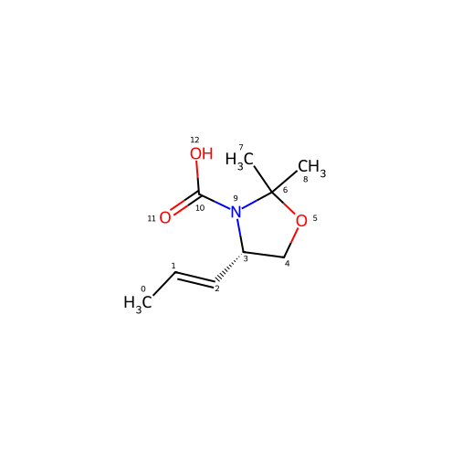 CC=C[C@H]1COC(C)(C)N1C(=O)O